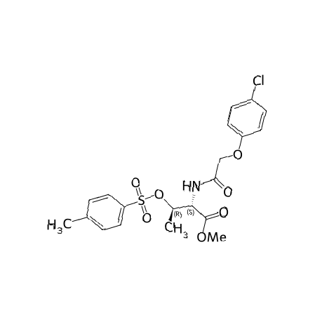 COC(=O)[C@@H](NC(=O)COc1ccc(Cl)cc1)[C@@H](C)OS(=O)(=O)c1ccc(C)cc1